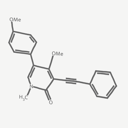 COc1ccc(-c2cn(C)c(=O)c(C#Cc3ccccc3)c2OC)cc1